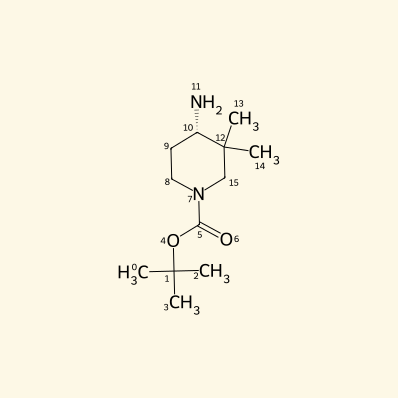 CC(C)(C)OC(=O)N1CC[C@H](N)C(C)(C)C1